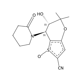 CC1(C)Oc2cc(C#N)[s+]([O-])c2[C@@H](N2CCCCC2=O)[C@@H]1O